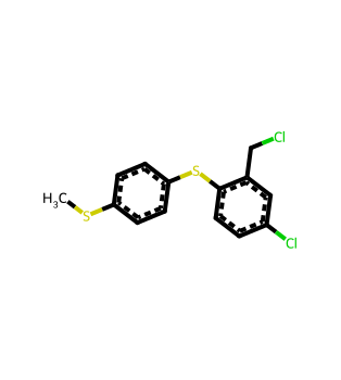 CSc1ccc(Sc2ccc(Cl)cc2CCl)cc1